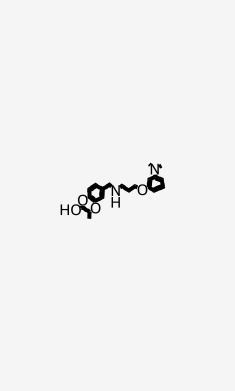 CC(Oc1cccc(CNCCCOc2cccc(N(C)C)c2)c1)C(=O)O